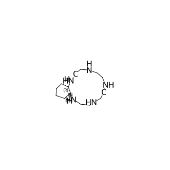 C1CC[C@H]2NCCNCCNCCNCCN[C@@H]2C1